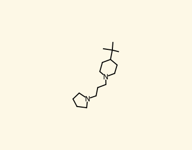 CC(C)(C)C1CCN(CCCN2CCCC2)CC1